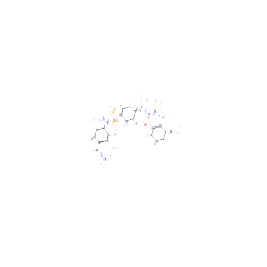 CC(NC(=O)Nc1ccc(S(=O)(=O)Nc2ccc3c(c2)CCN(C)C3)cc1)c1ccccc1Cl